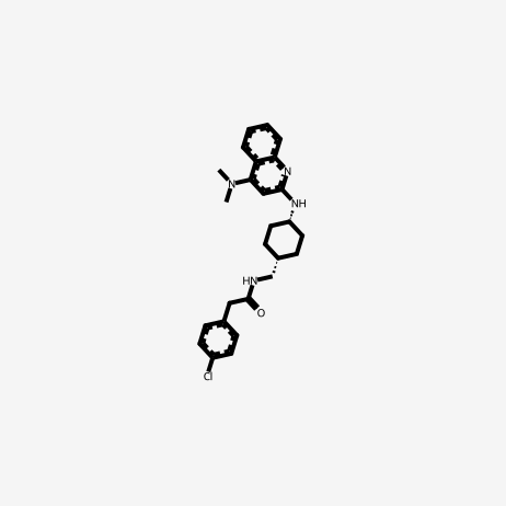 CN(C)c1cc(N[C@H]2CC[C@@H](CNC(=O)Cc3ccc(Cl)cc3)CC2)nc2ccccc12